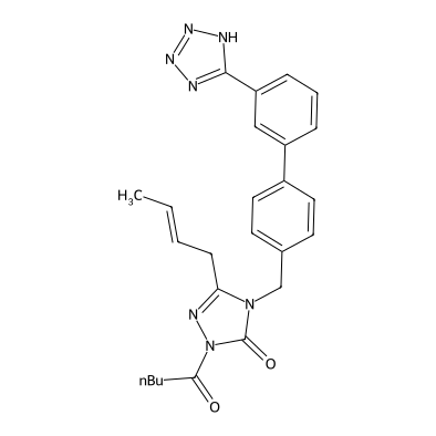 CC=CCc1nn(C(=O)CCCC)c(=O)n1Cc1ccc(-c2cccc(-c3nnn[nH]3)c2)cc1